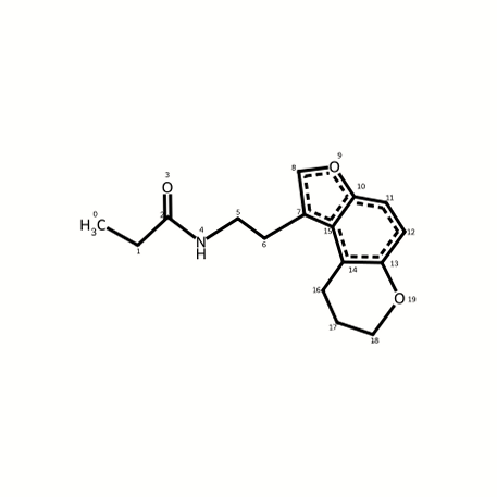 CCC(=O)NCCc1coc2ccc3c(c12)CCCO3